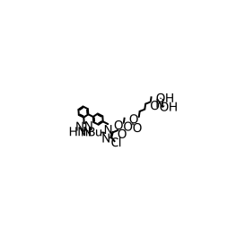 CCCCc1nc(Cl)c(C(=O)OC(C)OC(=O)OCCCCC(C)ON(O)O)n1Cc1ccc(-c2ccccc2-c2nn[nH]n2)cc1